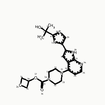 CC(C)(O)c1nc(-c2cc3c(N4CCN(C(=O)OC5COC5)CC4)ccnc3[nH]2)cs1